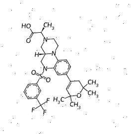 C[C@H](C(=O)O)N1CCN2c3ccc(C4=CC(C)(C)OC(C)(C)C4)cc3N(S(=O)(=O)c3cccc(C(F)(F)F)c3)C[C@@H]2C1